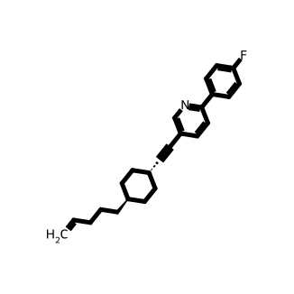 C=CCCC[C@H]1CC[C@H](C#Cc2ccc(-c3ccc(F)cc3)nc2)CC1